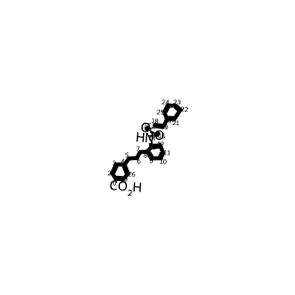 O=C(O)c1ccc(CCCc2ccccc2NS(=O)(=O)C=Cc2ccccc2)cc1